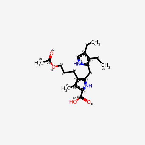 CCc1c[nH]c(Cc2[nH]c(C(=O)O)c(C)c2CCCOC(C)=O)c1CC